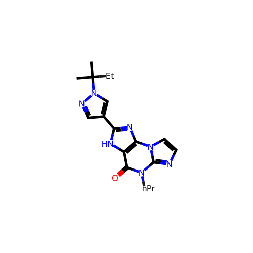 CCCn1c(=O)c2[nH]c(-c3cnn(C(C)(C)CC)c3)nc2n2ccnc12